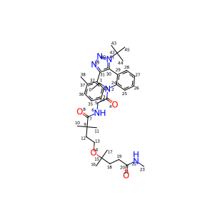 CCN(C(=O)CNC(=O)C(C)(C)CCOC(C)(C)CCC(=O)NC)c1ccccc1-c1c(-c2ccccc2C)nnn1C(C)(C)C